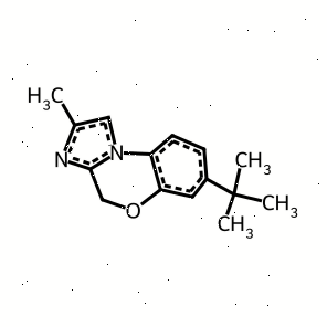 Cc1cn2c(n1)COc1cc(C(C)(C)C)ccc1-2